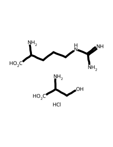 Cl.N=C(N)NCCCC(N)C(=O)O.NC(CO)C(=O)O